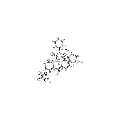 Cc1ccc(S(=O)(=O)N(C(=O)[c+]2c3ccccc3n(C)c3ccccc32)c2ccccc2)cc1.O=S(=O)([O-])C(F)(F)F